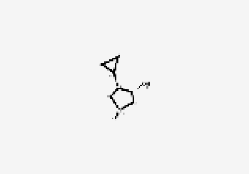 CN1C[C@@H](O)[C@H](C2CC2)C1